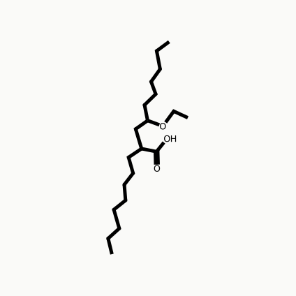 CCCCCCCCC(CC(CCCCCC)OCC)C(=O)O